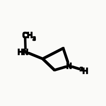 [2H]N1CC(NC)C1